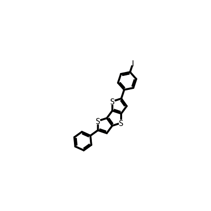 Ic1ccc(-c2cc3sc4cc(-c5ccccc5)sc4c3s2)cc1